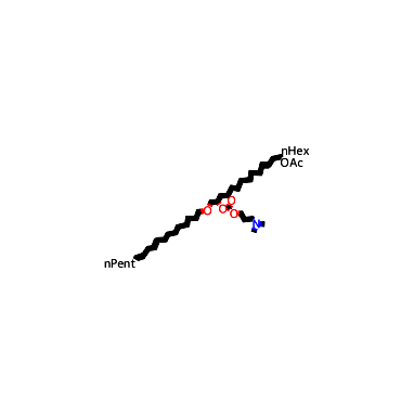 CCCCCC=CCC=CCCCCCCCCOCC(CCCCCCCCC=CC[C@@H](CCCCCC)OC(C)=O)OC(=O)OCCCN(C)C